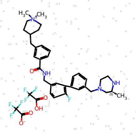 C[C@H]1CN(Cc2cccc(-c3cc(CNC(=O)c4cccc(CC5CC[N+](C)(C)CC5)c4)ccc3F)c2)CCN1.O=C(O)C(F)(F)F.O=C([O-])C(F)(F)F